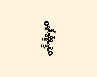 N[C@@H](COC(=O)C(O)C(O)C(=O)OC[C@H](N)C(=O)Oc1ccccc1)C(=O)Oc1ccccc1